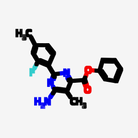 Cc1ccc(-c2nc(N)c(C)c(C(=O)Oc3ccccc3)n2)c(F)c1